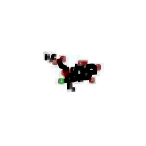 COC(=O)CCC(=O)O[C@]1(C(=O)CCl)[C@@H](C)C[C@H]2[C@@H]3CC(=O)C4=CC(=O)C=C[C@]4(C)[C@@]3(F)[C@@H](O)C[C@@]21C